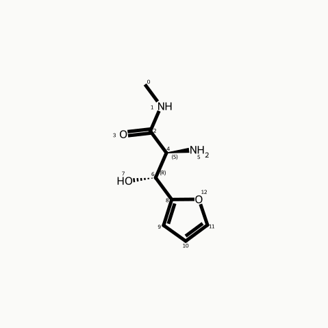 CNC(=O)[C@@H](N)[C@@H](O)c1ccco1